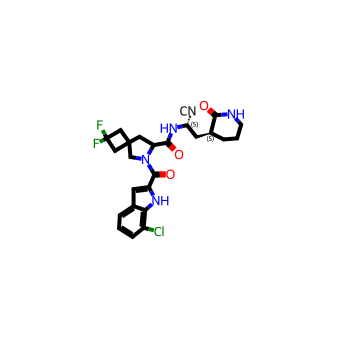 N#C[C@H](C[C@@H]1CCCNC1=O)NC(=O)C1CC2(CN1C(=O)c1cc3cccc(Cl)c3[nH]1)CC(F)(F)C2